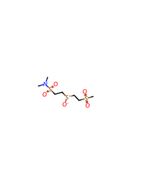 CN(C)S(=O)(=O)CC[S+]([O-])CCS(C)(=O)=O